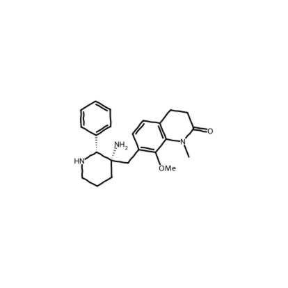 COc1c(C[C@@]2(N)CCCN[C@@H]2c2ccccc2)ccc2c1N(C)C(=O)CC2